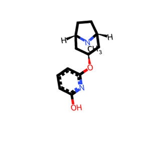 CN1[C@@H]2CC[C@H]1C[C@H](Oc1cccc(O)n1)C2